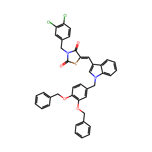 O=C1SC(=Cc2cn(Cc3ccc(OCc4ccccc4)c(OCc4ccccc4)c3)c3ccccc23)C(=O)N1Cc1ccc(Cl)c(Cl)c1